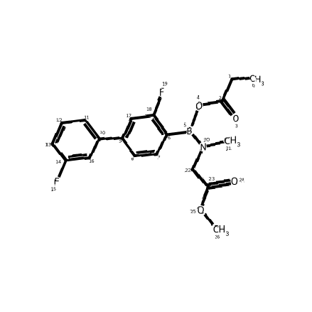 CCC(=O)OB(c1ccc(-c2cccc(F)c2)cc1F)N(C)CC(=O)OC